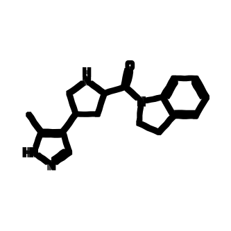 Cc1[nH]ncc1C1CNC(C(=O)N2CCc3ccccc32)C1